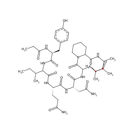 CCC(=O)N[C@@H](Cc1ccc(O)cc1)C(=O)NC(C(=O)N[C@@H](CCC(N)=O)C(=O)N[C@@H](CC(N)=O)C(=O)NC(CCC(C)=O)C(=O)N1CCCCC1C(=O)NC(C)CC(C)C)C(C)CC